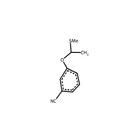 CSC(C)Oc1cccc(C#N)c1